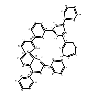 C1=CCCC(c2cc(-c3ccccc3)nc(-c3cccc(-c4ccc5ccc6c(-c7ccccc7)cc(-c7ccccc7)nc6c5n4)c3)n2)=CC1